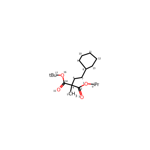 CC(C)OC(=O)C(C)(CCC1CCCCC1)C(=O)OC(C)(C)C